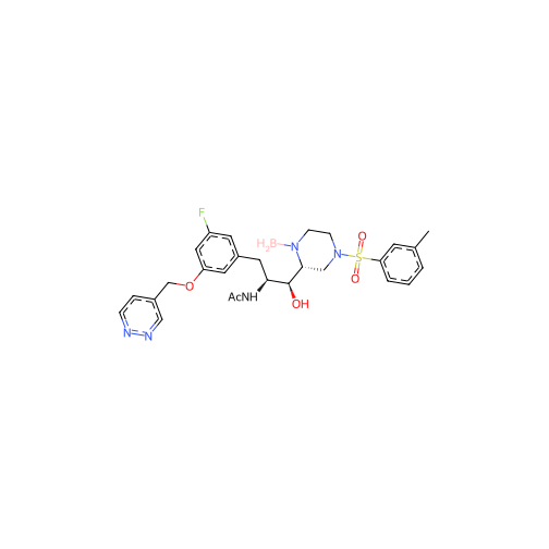 BN1CCN(S(=O)(=O)c2cccc(C)c2)C[C@@H]1[C@@H](O)[C@H](Cc1cc(F)cc(OCc2ccnnc2)c1)NC(C)=O